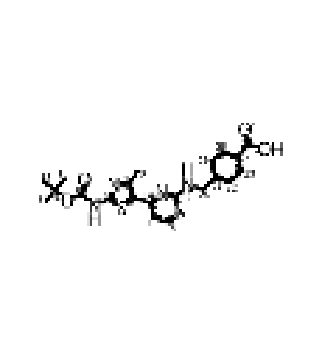 Cc1nc(NC(=O)OC(C)(C)C)sc1-c1ccnc(NCc2ccc(C(=O)O)cc2)n1